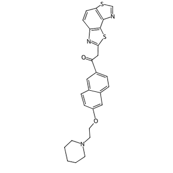 O=C(Cc1nc2ccc3scnc3c2s1)c1ccc2cc(OCCN3CCCCC3)ccc2c1